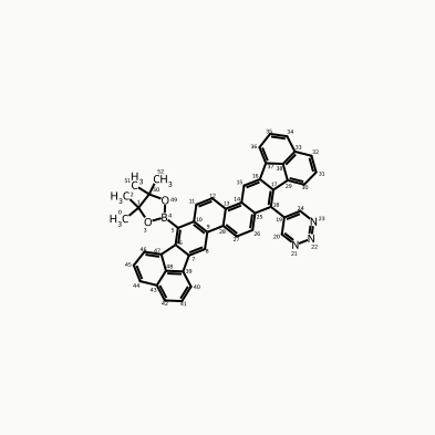 CC1(C)OB(c2c3c(cc4c2ccc2c5cc6c(c(-c7cnnnc7)c5ccc42)-c2cccc4cccc-6c24)-c2cccc4cccc-3c24)OC1(C)C